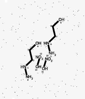 NNCCO.NNCCO.O=[N+]([O-])O.O=[N+]([O-])O